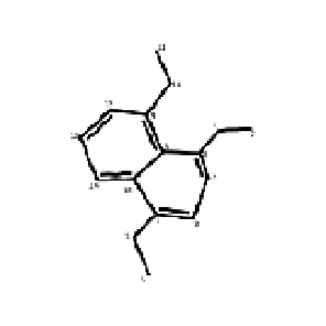 CCc1ccc(CC)c2c(CC)cccc12